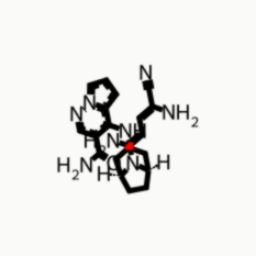 N#C/C(N)=C/C=C(\N)N1[C@@H]2CC[C@H]1C[C@H](Nc1c(C(N)=O)cnn3cccc13)C2